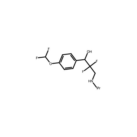 CC(C)NCC(F)(F)C(O)c1ccc(OC(F)F)cc1